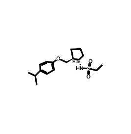 CCS(=O)(=O)N[C@H]1CCC[C@@H]1COc1ccc(C(C)C)cc1